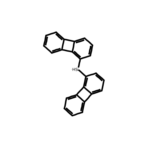 c1ccc2c(c1)-c1cccc([SiH]c3cccc4c3-c3ccccc3-4)c1-2